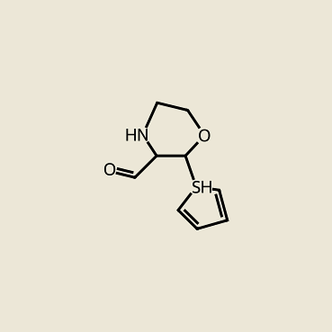 O=CC1NCCOC1[SH]1C=CC=C1